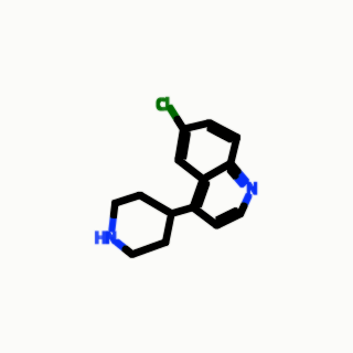 Clc1ccc2nccc(C3CCNCC3)c2c1